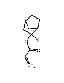 C=CC(=O)OC1(I)CC2CCC1C2